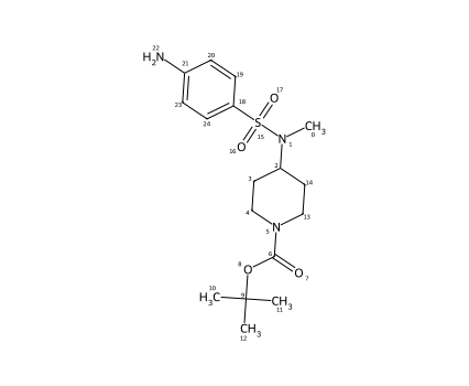 CN(C1CCN(C(=O)OC(C)(C)C)CC1)S(=O)(=O)c1ccc(N)cc1